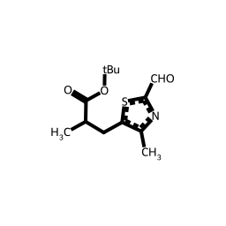 Cc1nc(C=O)sc1CC(C)C(=O)OC(C)(C)C